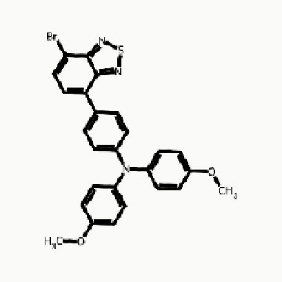 COc1ccc(N(c2ccc(OC)cc2)c2ccc(-c3ccc(Br)c4nsnc34)cc2)cc1